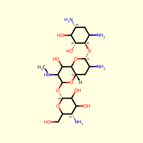 CNC1C(O[C@H]2OC(CO)[C@@H](N)C(O)C2O)O[C@H]2CC(N)[C@@H](O[C@@H]3C(N)C[C@@H](N)C(O)[C@H]3O)OC2C1O